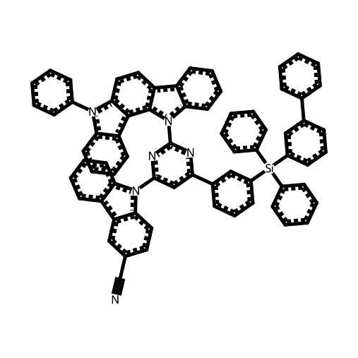 N#Cc1ccc2c(c1)c1ccccc1n2-c1cc(-c2cccc([Si](c3ccccc3)(c3ccccc3)c3cccc(-c4ccccc4)c3)c2)nc(-n2c3ccccc3c3ccc4c(c5ccccc5n4-c4ccccc4)c32)n1